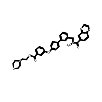 CN(Cc1cccc(-c2ccc(Oc3cccc(C(=O)OCCN4CCOCC4)c3)cc2)c1)C(=O)c1ccc2nccnc2c1